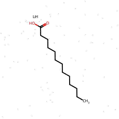 CCCCCCCCCCCCC(=O)O.[LiH]